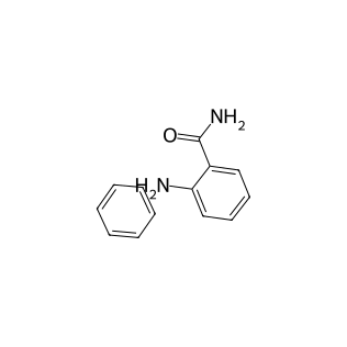 NC(=O)c1ccccc1N.c1ccccc1